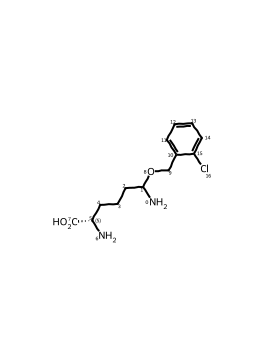 NC(CCC[C@H](N)C(=O)O)OCc1ccccc1Cl